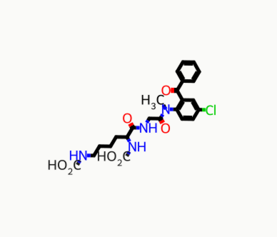 CN(C(=O)CNC(=O)C(CCCCNC(=O)O)NC(=O)O)c1ccc(Cl)cc1C(=O)c1ccccc1